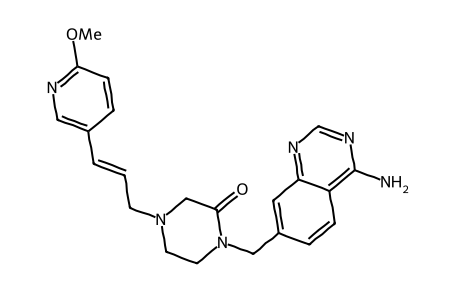 COc1ccc(C=CCN2CCN(Cc3ccc4c(N)ncnc4c3)C(=O)C2)cn1